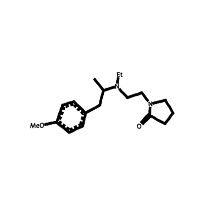 CCN(CCN1CCCC1=O)C(C)Cc1ccc(OC)cc1